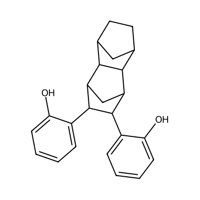 Oc1ccccc1C1C2CC(C1c1ccccc1O)C1C3CCC(C3)C21